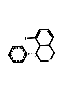 FC1=CC=CC2COC[C@H](c3ccccc3)C12